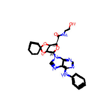 O=C(NCCO)[C@H]1O[C@@H](n2cnc3c(Nc4ccccc4)ncnc32)C2OC3(CCCCC3)OC21